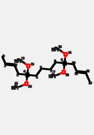 CC=CC[Si](CCCC[Si](CC=CC)(OCCC)OCCC)(OCCC)OCCC